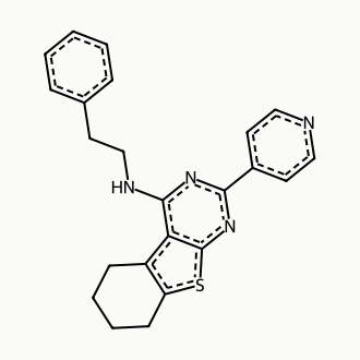 c1ccc(CCNc2nc(-c3ccncc3)nc3sc4c(c23)CCCC4)cc1